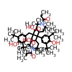 C=CC(=O)N1C(C)(C)CC(C(c2cc(C(C)(C)C)c(O)c(C(C)(C)C)c2)(C2CC(C)(C)N(C(=O)C=C)C(C)(C)C2)C(Cc2cc(C(C)(C)C)c(O)c(C(C)(C)C)c2)(C(=O)O)C(=O)O)CC1(C)C